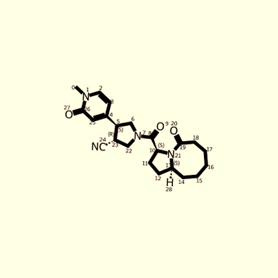 Cn1ccc([C@H]2CN(C(=O)[C@@H]3CC[C@@H]4CCCCCC(=O)N43)C[C@@H]2C#N)cc1=O